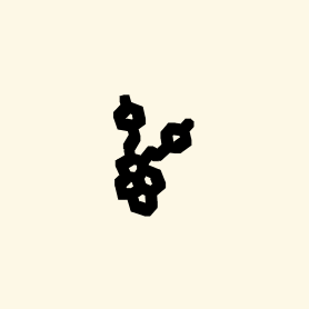 Cc1ccc(C=Cc2cc3ccc4cccc5ccc(c2C=Cc2ccc(C)cc2)c3c45)cc1